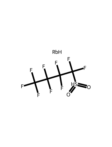 O=[SH](=O)C(F)(F)C(F)(F)C(F)(F)C(F)(F)F.[RbH]